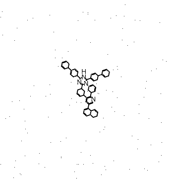 C1=CCC(C2=CCC(C3N=C(C4CC=CC(c5cc(C6=CC=CC7CCC=CC67)cnc5C5C=CC=CC5)C4)N=C(C4=CCC(C5=CCCC=C5)C=C4)N3)C=C2)C=C1